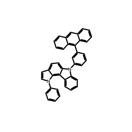 c1ccc(-n2ccc3ccc4c(c5ccccc5n4-c4cccc(-c5c6ccccc6cc6ccccc56)c4)c32)cc1